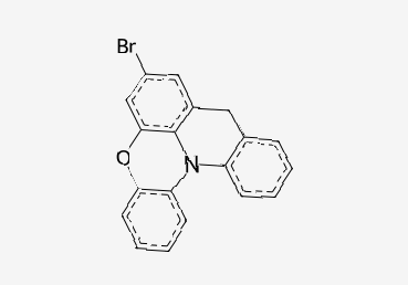 Brc1cc2c3c(c1)Oc1ccccc1N3c1ccccc1C2